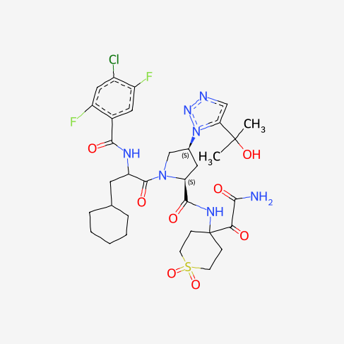 CC(C)(O)c1cnnn1[C@H]1C[C@@H](C(=O)NC2(C(=O)C(N)=O)CCS(=O)(=O)CC2)N(C(=O)C(CC2CCCCC2)NC(=O)c2cc(F)c(Cl)cc2F)C1